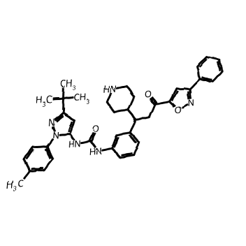 Cc1ccc(-n2nc(C(C)(C)C)cc2NC(=O)Nc2cccc(C(CC(=O)c3cc(-c4ccccc4)no3)C3CCNCC3)c2)cc1